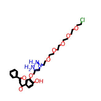 N/C(=C\N(N)CCOCCOCCOCCOCCOCCCl)COc1c(O)ccc2c(=O)cc(-c3ccccc3)oc12